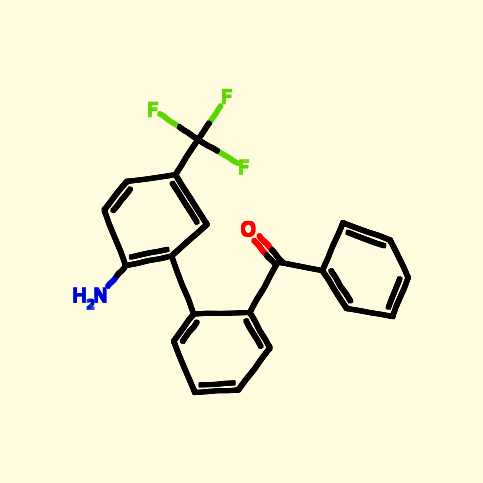 Nc1ccc(C(F)(F)F)cc1-c1ccccc1C(=O)c1ccccc1